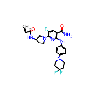 C=CC(=O)NC1CCN(c2nc(Nc3ccc(N4CCC(F)(F)CC4)cc3)c(C(N)=O)cc2F)C1